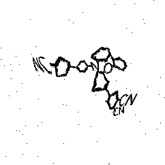 N#Cc1ccc(-c2ccc(N(c3ccc(-c4ccc(C#N)c(C#N)c4)cc3)c3cccc4c3oc3ccccc34)cc2)cc1